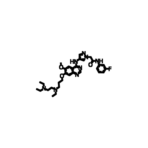 CCN(CC)CCN(CC)CCCOc1cc2ncnc(Nc3cnn(CC(=O)Nc4cccc(F)c4)c3)c2cc1OC